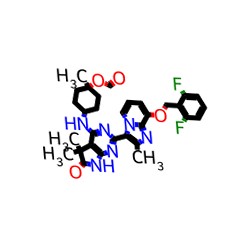 Cc1nc2c(OCc3c(F)cccc3F)cccn2c1-c1nc2c(c(NC3CCC(C)(OC=O)CC3)n1)C(C)(C)C(=O)N2